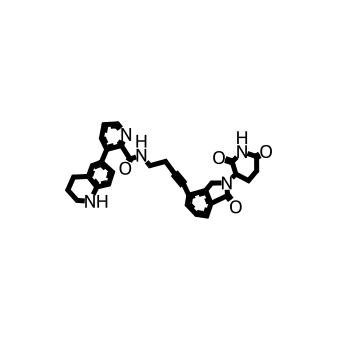 O=C1CCC(N2Cc3c(C#CCCNC(=O)c4ncccc4-c4ccc5c(c4)CCCN5)cccc3C2=O)C(=O)N1